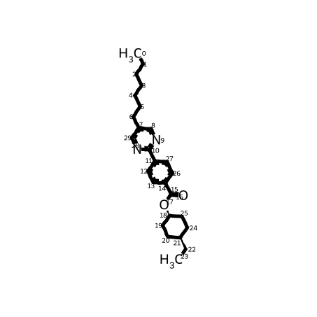 CCCCCCCc1cnc(-c2ccc(C(=O)O[C@H]3CC[C@H](CC)CC3)cc2)nc1